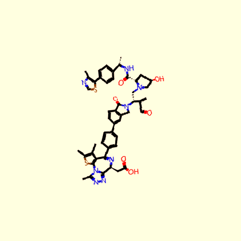 Cc1ncsc1-c1ccc([C@H](C)NC(=O)[C@@H]2C[C@@H](O)CN2C[C@H](C(C)C=O)N2Cc3cc(-c4ccc(C5=N[C@@H](CC(=O)O)c6nnc(C)n6-c6sc(C)c(C)c65)cc4)ccc3C2=O)cc1